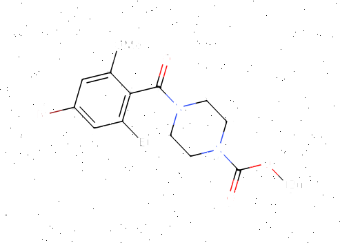 CCc1cc(Br)cc(OC)c1C(=O)N1CCN(C(=O)OC(C)(C)C)CC1